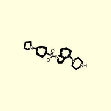 O=S(=O)(c1ccc(N2CCCC2)cc1)n1ccc2c(N3CCNCC3)cccc21